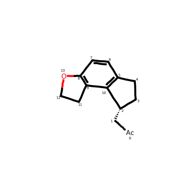 CC(=O)C[C@H]1CCc2ccc3c(c21)CCO3